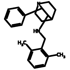 Cc1cccc(C)c1CNC1C2CCN(CC2)C1c1ccccc1